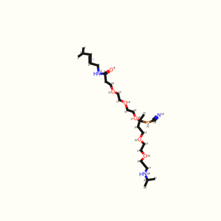 CC(C)/C=C/CNC(=O)CCOCCOCCOC(C)(CCOCCOCCNC(C)C)SC#N